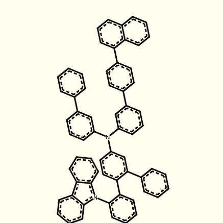 c1ccc(-c2cccc(N(c3cccc(-c4ccc(-c5cccc6ccccc56)cc4)c3)c3ccc(-c4ccccc4-n4c5ccccc5c5ccccc54)c(-c4ccccc4)c3)c2)cc1